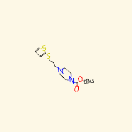 CC(C)(C)OC(=O)N1CCN(CCCSc2cccs2)CC1